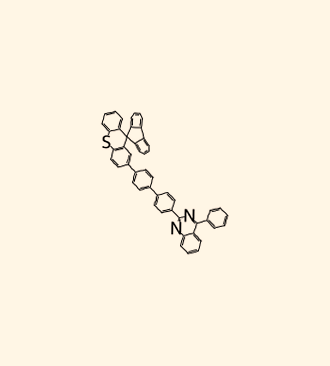 c1ccc(-c2nc(-c3ccc(-c4ccc(-c5ccc6c(c5)C5(c7ccccc7S6)c6ccccc6-c6ccccc65)cc4)cc3)nc3ccccc23)cc1